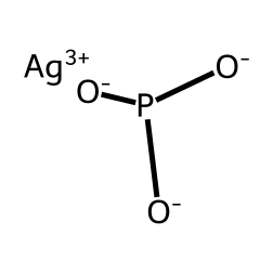 [Ag+3].[O-]P([O-])[O-]